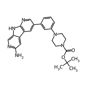 CC(C)(C)OC(=O)N1CCN(c2cccc(-c3cnc4[nH]c5cnc(N)cc5c4c3)c2)CC1